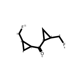 O=C(C1CC1CF)C1CC1CF